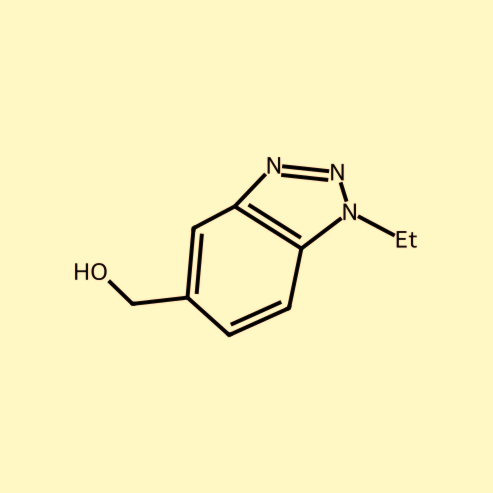 CCn1nnc2cc(CO)ccc21